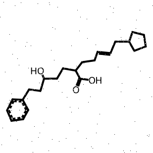 O=C(O)C(CCC=CCC1CCCC1)CCC(O)CCc1ccccc1